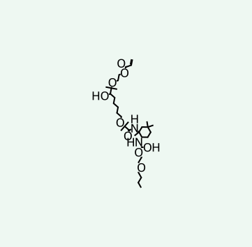 C=CC(=O)OCCOC(C)(C)C(O)CCCCCOC(C)(C)C(=O)NC1(C)CC(C)(C)CCC1NC(O)OCCOCCCC